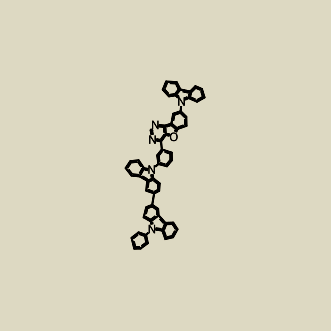 c1ccc(-n2c3ccccc3c3cc(-c4ccc5c(c4)c4ccccc4n5-c4cccc(-c5ncnc6c5oc5ccc(-n7c8ccccc8c8ccccc87)cc56)c4)ccc32)cc1